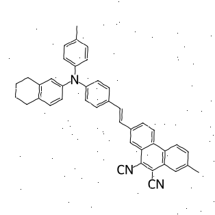 [C-]#[N+]c1c(C#N)c2cc(C)ccc2c2ccc(C=Cc3ccc(N(c4ccc(C)cc4)c4ccc5c(c4)CCCC5)cc3)cc12